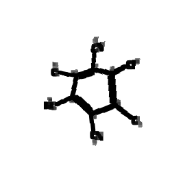 N#Cc1c(Cl)c(Cl)c(C#N)c(C#N)c1Cl